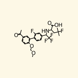 COCOc1ccc(C(C)=O)cc1-c1ccc(C(NC(CC(C)(C)F)C(=O)O)C(F)(F)F)cc1F